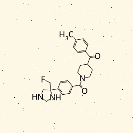 Cc1ccc(C(=O)C2CCN(C(=O)c3ccc(C4(CF)CNCN4)cc3)CC2)cc1